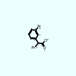 CC(C)C(C(=O)Cl)c1cccc(Br)c1